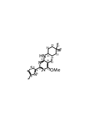 COc1nc(-c2nc(C)cs2)nc(NC2CCC(F)(F)CC2)c1F